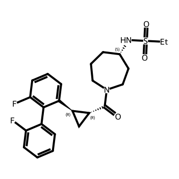 CCS(=O)(=O)N[C@H]1CCCN(C(=O)[C@@H]2C[C@H]2c2cccc(F)c2-c2ccccc2F)CC1